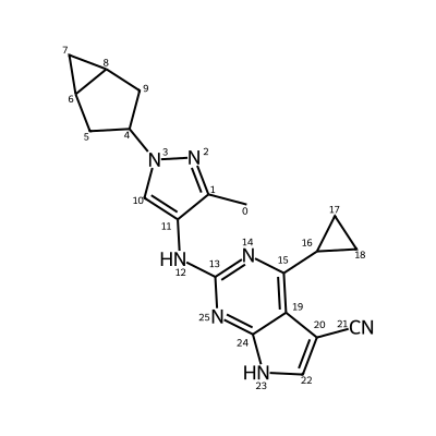 Cc1nn(C2CC3CC3C2)cc1Nc1nc(C2CC2)c2c(C#N)c[nH]c2n1